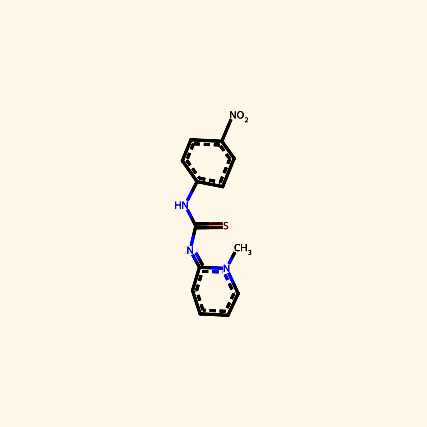 Cn1ccccc1=NC(=S)Nc1ccc([N+](=O)[O-])cc1